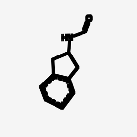 O=CNC1Cc2ccccc2C1